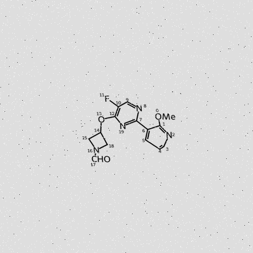 COc1ncccc1-c1ncc(F)c(OC2CN(C=O)C2)n1